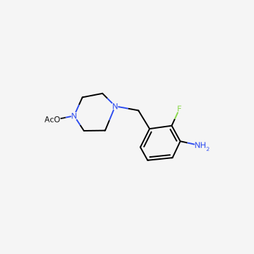 CC(=O)ON1CCN(Cc2cccc(N)c2F)CC1